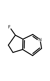 FC1CCc2ccncc21